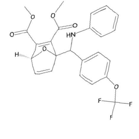 COC(=O)C1=C(C(=O)OC)C2(C(Nc3ccccc3)c3ccc(OC(F)(F)F)cc3)C=C[C@@H]1O2